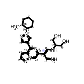 C[C@@H]1CCCC[C@H]1n1cc(-c2nc(/C(C=N)=C/NC(CO)CO)cn3nccc23)cn1